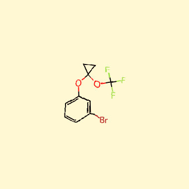 FC(F)(F)OC1(Oc2cccc(Br)c2)CC1